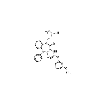 COc1cccc(OC(=O)NC2C(=O)N(CCC(C)C)c3ccccc3N(c3ccccc3)C2=O)c1